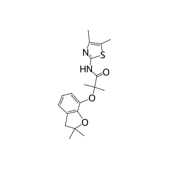 Cc1nc(NC(=O)C(C)(C)Oc2cccc3c2OC(C)(C)C3)sc1C